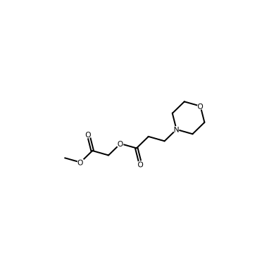 COC(=O)COC(=O)CCN1CCOCC1